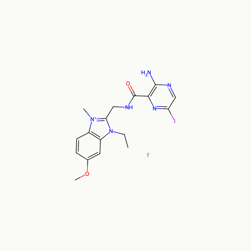 CCn1c(CNC(=O)c2nc(I)cnc2N)[n+](C)c2ccc(OC)cc21.[I-]